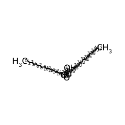 CCCCCCCCCCCCCCCCCCOP(=O)(CCO)OCCCCCCCCCCCCCCCCCC